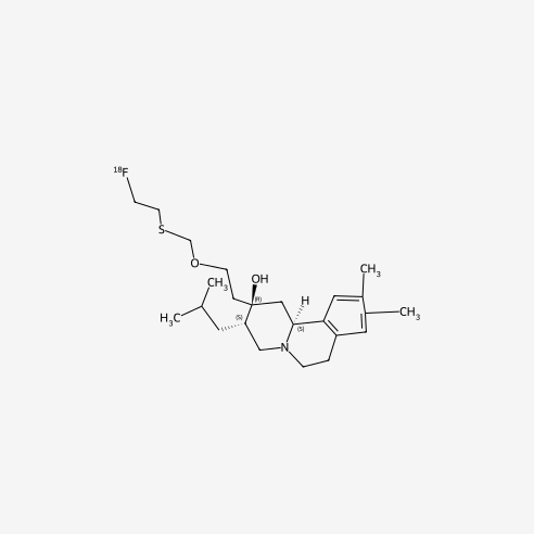 Cc1cc2c(cc1C)[C@@H]1C[C@@](O)(CCOCSCC[18F])[C@@H](CC(C)C)CN1CC2